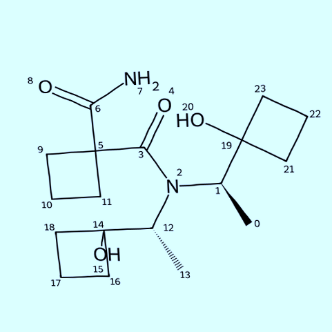 C[C@@H](N(C(=O)C1(C(N)=O)CCC1)[C@H](C)C1(O)CCC1)C1(O)CCC1